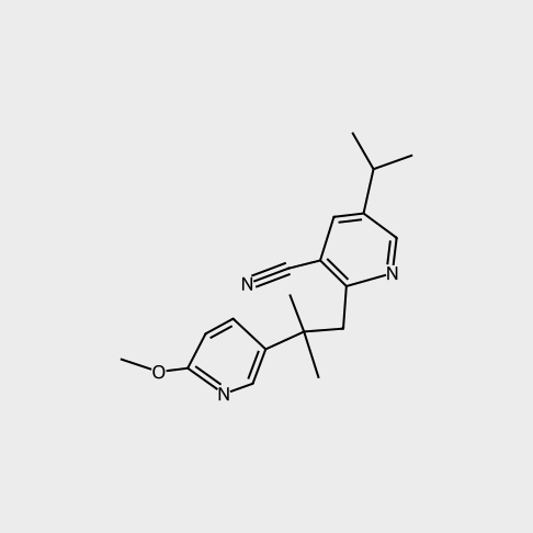 COc1ccc(C(C)(C)Cc2ncc(C(C)C)cc2C#N)cn1